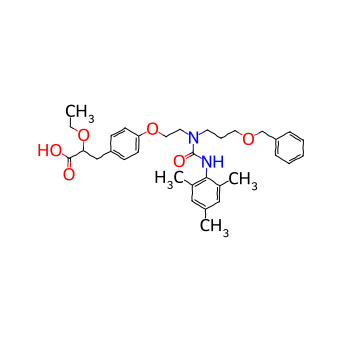 CCOC(Cc1ccc(OCCN(CCCOCc2ccccc2)C(=O)Nc2c(C)cc(C)cc2C)cc1)C(=O)O